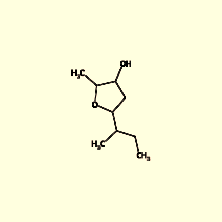 CCC(C)C1CC(O)C(C)O1